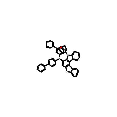 c1ccc(-c2ccc(N(c3cccc(-c4ccccc4)c3)c3cc4oc5ccccc5c4c4c5ccccc5n(-c5ccccc5)c34)cc2)cc1